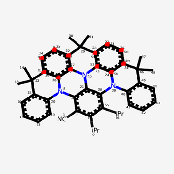 CC(C)c1c(C#N)c(N2c3ccccc3C(C)(C)c3ccccc32)c(N2c3ccccc3C(C)(C)c3ccccc32)c(N2c3ccccc3C(C)(C)c3ccccc32)c1C(C)C